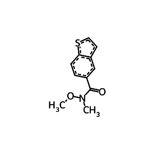 CON(C)C(=O)c1ccc2sccc2c1